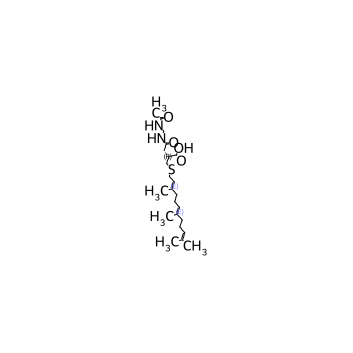 CC(=O)NCNC(=O)C[C@@H](CSC/C=C(\C)CC/C=C(\C)CCC=C(C)C)C(=O)O